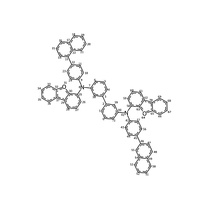 c1cc(-c2cccc(N(c3ccc(-c4cccc5ccccc45)cc3)c3cccc4c3oc3ccccc34)c2)cc(N(c2ccc(-c3ccc4ccccc4c3)cc2)c2cccc3c2oc2ccccc23)c1